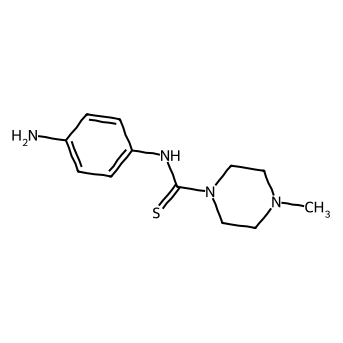 CN1CCN(C(=S)Nc2ccc(N)cc2)CC1